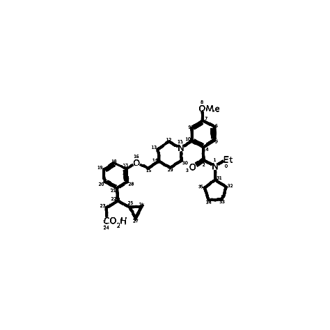 CCN(C(=O)c1ccc(OC)cc1N1CCC(COc2cccc(C(CC(=O)O)C3CC3)c2)CC1)C1CCCC1